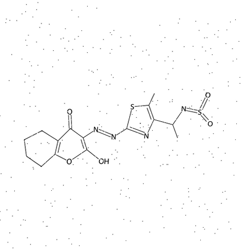 Cc1sc(N=Nc2c(O)oc3c(c2=O)CCCC3)nc1C(C)N=S(=O)=O